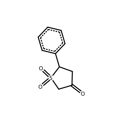 O=C1CC(c2ccccc2)S(=O)(=O)C1